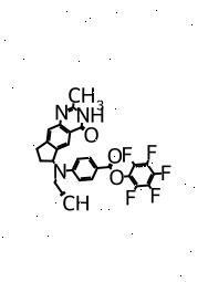 C#CCN(c1ccc(C(=O)Oc2c(F)c(F)c(F)c(F)c2F)cc1)[C@H]1CCc2cc3nc(C)[nH]c(=O)c3cc21